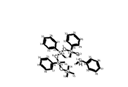 C[SiH](O[Si](C)(O[Si](C)(O[Si](C)(O[Si](C)(C)C)c1ccccc1)c1ccccc1)c1ccccc1)c1ccccc1